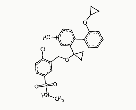 CNS(=O)(=O)c1ccc(Cl)c(COC2(c3c[n+](O)ccc3-c3ccccc3OC3CC3)CC2)c1